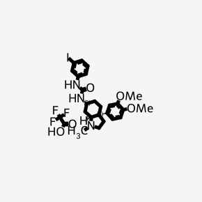 COc1ccc([C@@]23CC[C@@H](NC(=O)Nc4cccc(I)c4)C[C@@H]2N(C)CC3)cc1OC.O=C(O)C(F)(F)F